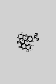 O=C1CCCC2=C1C(c1ccc([N+](=O)[O-])cc1)c1c(ccc3ccccc13)N2